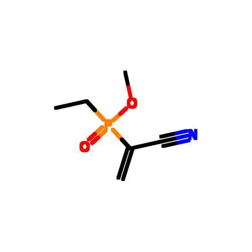 C=C(C#N)P(=O)(CC)OC